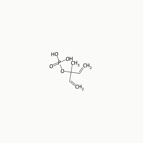 C=CC(C)(C=C)OP(=O)(O)O